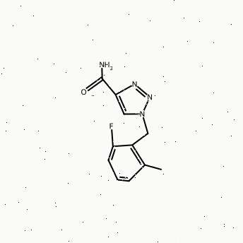 Cc1cccc(F)c1Cn1cc(C(N)=O)nn1